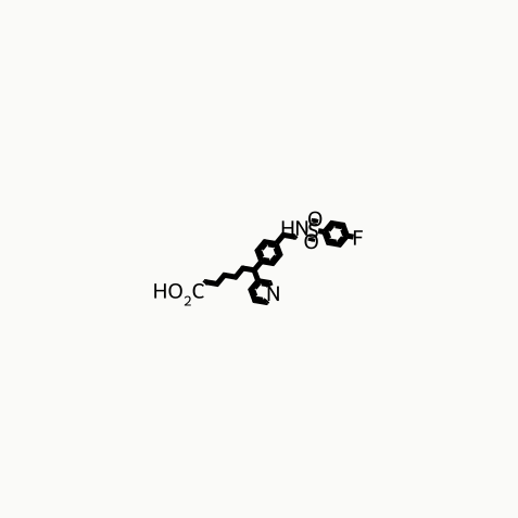 O=C(O)CCCCCC(c1ccc(CCNS(=O)(=O)c2ccc(F)cc2)cc1)c1cccnc1